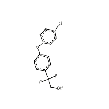 OCC(F)(F)c1ccc(Oc2ccc(Cl)cc2)cc1